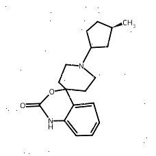 C[C@@H]1CCC(N2CCC3(CC2)OC(=O)Nc2ccccc23)C1